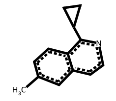 Cc1ccc2c(C3CC3)nccc2c1